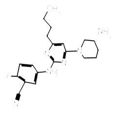 CCCCc1cc(N2CCC[C@@H](N)C2)nc(Nc2ccc(F)c(C#N)c2)n1